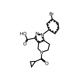 O=C(O)c1nn(-c2cccc(Br)c2)c2c1CN(C(=O)C1CC1)CC2